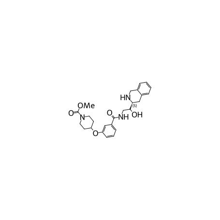 COC(=O)N1CCC(Oc2cccc(C(=O)NCC(O)[C@@H]3Cc4ccccc4CN3)c2)CC1